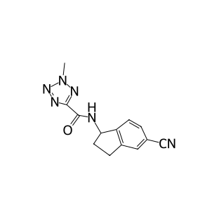 Cn1nnc(C(=O)NC2CCc3cc(C#N)ccc32)n1